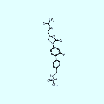 CC(=O)NCC1CN(c2ccc(-c3ccc(CNS(C)(=O)=O)cc3)c(F)c2)C(=O)O1